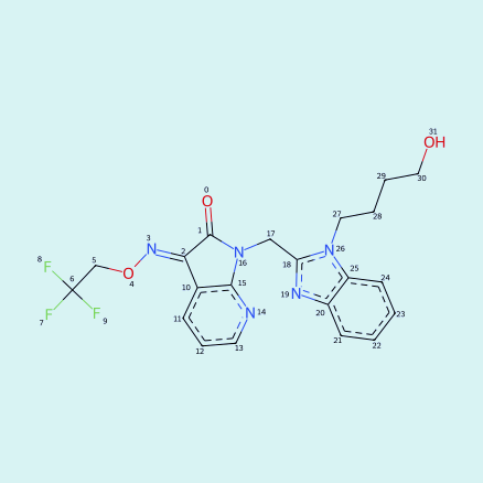 O=C1/C(=N/OCC(F)(F)F)c2cccnc2N1Cc1nc2ccccc2n1CCCCO